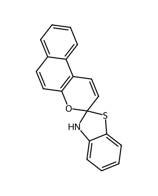 C1=CC2(Nc3ccccc3S2)Oc2ccc3ccccc3c21